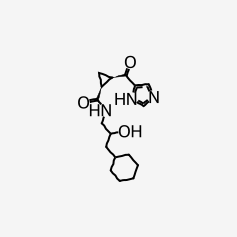 O=C(NCC(O)CC1CCCCC1)[C@H]1C[C@H]1C(=O)c1cnc[nH]1